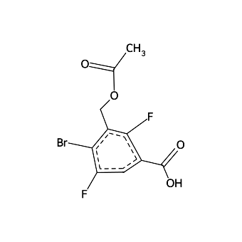 CC(=O)OCc1c(F)c(C(=O)O)cc(F)c1Br